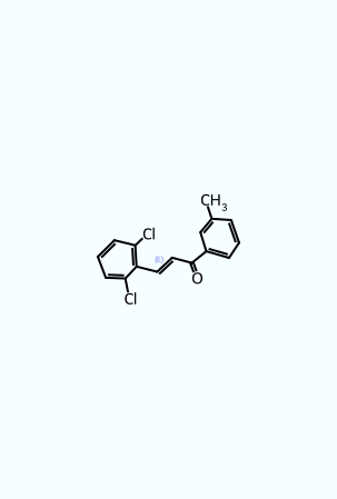 Cc1cccc(C(=O)/C=C/c2c(Cl)cccc2Cl)c1